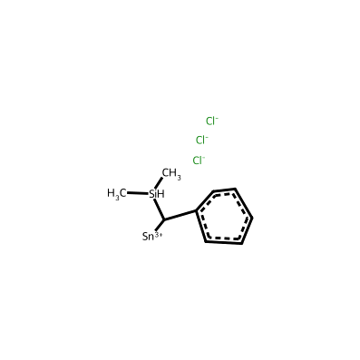 C[SiH](C)[CH]([Sn+3])c1ccccc1.[Cl-].[Cl-].[Cl-]